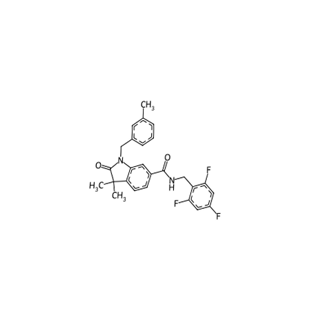 Cc1cccc(CN2C(=O)C(C)(C)c3ccc(C(=O)NCc4c(F)cc(F)cc4F)cc32)c1